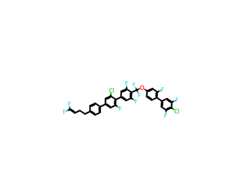 FC(F)=CCCc1ccc(-c2cc(F)c(-c3cc(F)c(C(F)(F)Oc4ccc(-c5cc(F)c(Cl)c(F)c5)c(F)c4)c(F)c3)c(Cl)c2)cc1